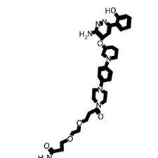 NC(=O)CCOCCOCCC(=O)N1CCN(c2ccc(N3CCCC(Oc4cc(-c5ccccc5O)nnc4N)C3)cc2)CC1